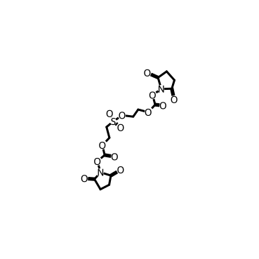 O=C(OCCOS(=O)(=O)CCOC(=O)ON1C(=O)CCC1=O)ON1C(=O)CCC1=O